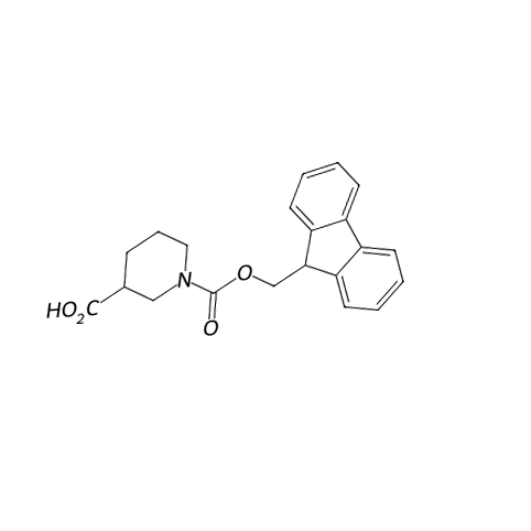 O=C(O)C1CCCN(C(=O)OCC2c3ccccc3-c3ccccc32)C1